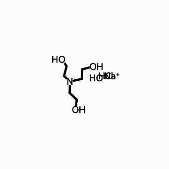 Cl.OCCN(CCO)CCO.[Na+].[OH-]